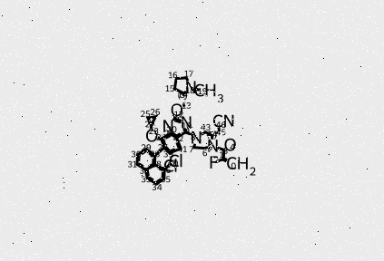 C=C(F)C(=O)N1CCN(c2nc(OC[C@@H]3CCCN3C)nc3c(OC4CC4)c(-c4cccc5cccc(Cl)c45)c(Cl)cc23)C[C@@H]1CC#N